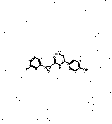 O=C(N[C@@H](CO)c1ccc(O)cc1)[C@H]1C[C@@H]1c1cccc(F)c1